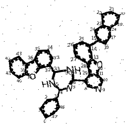 c1ccc(C2N=C(c3cncc4oc5c(-c6ccc7ccccc7c6)cccc5c34)NC(c3cccc4c3oc3ccccc34)N2)cc1